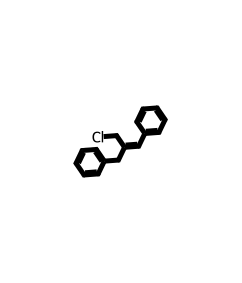 ClCC(=Cc1ccccc1)Cc1ccccc1